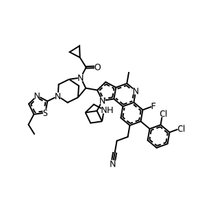 CCc1cnc(N2CC3CC(C2)N(C(=O)C2CC2)C3c2cc3c(C)nc4c(F)c(-c5cccc(Cl)c5Cl)c(CCC#N)cc4c3n2C2C3CNC2C3)s1